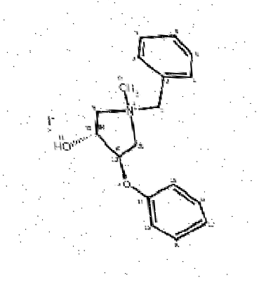 C[N+]1(Cc2ccccc2)C[C@@H](O)[C@H](Oc2ccccc2)C1.[I-]